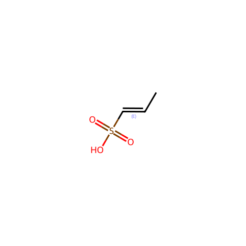 C/C=C/S(=O)(=O)O